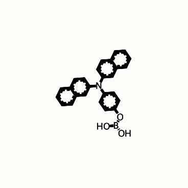 OB(O)Oc1ccc(N(c2ccc3ccccc3c2)c2ccc3ccccc3c2)cc1